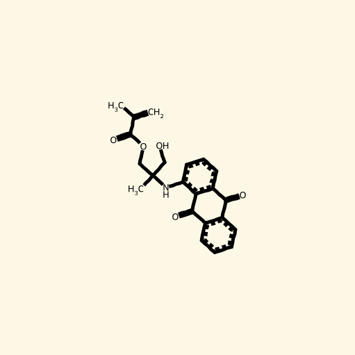 C=C(C)C(=O)OCC(C)(CO)Nc1cccc2c1C(=O)c1ccccc1C2=O